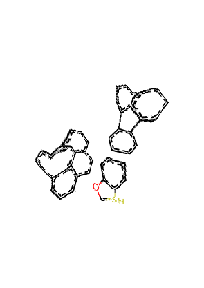 C1=[SH]c2ccccc2O1.[c]1ccc2ccc3cccc4ccc1c2c43.c1ccc2c(c1)-c1cccc3cccc-2c13